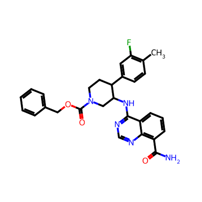 Cc1ccc(C2CCN(C(=O)OCc3ccccc3)CC2Nc2ncnc3c(C(N)=O)cccc23)cc1F